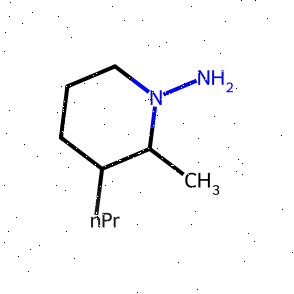 CCCC1CCCN(N)C1C